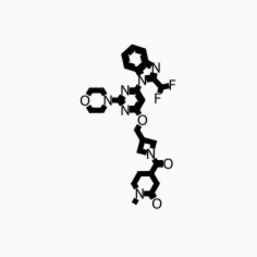 CN1CCC(C(=O)N2CC(COc3cc(-n4c(C(F)F)nc5ccccc54)nc(N4CCOCC4)n3)C2)CC1=O